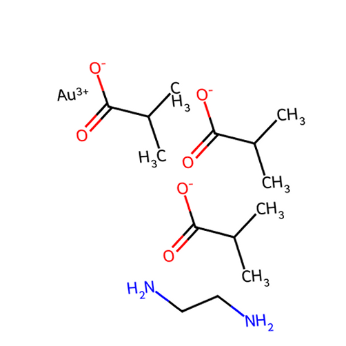 CC(C)C(=O)[O-].CC(C)C(=O)[O-].CC(C)C(=O)[O-].NCCN.[Au+3]